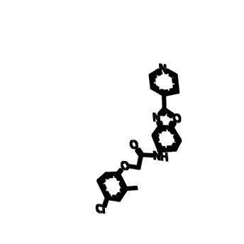 Cc1cc(Cl)ccc1OCC(=O)Nc1ccc2oc(-c3ccncc3)nc2c1